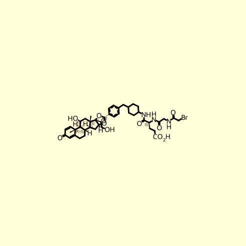 C[C@]12C=CC(=O)C=C1CC[C@@H]1[C@@H]2[C@@H](O)C[C@@]2(C)[C@H]1C[C@H]1O[C@@H](c3ccc(CC4CCC(NC(=O)[C@H](CCC(=O)O)NC(=O)CNC(=O)CBr)CC4)cc3)O[C@]12C(=O)CO